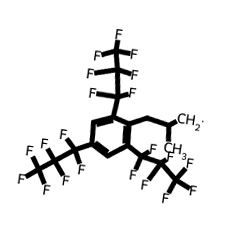 [CH2]C(C)Cc1c(C(F)(F)C(F)(F)C(F)(F)F)cc(C(F)(F)C(F)(F)C(F)(F)F)cc1C(F)(F)C(F)(F)C(F)(F)F